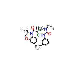 CC1COc2ccccc2N1C(=O)C(Cl)Cl.CN(C)C(=O)Nc1cccc(C(F)(F)F)c1